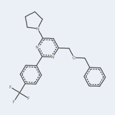 FC(F)(F)c1ccc(-c2nc(COCc3ccccc3)cc(N3CCCC3)n2)cc1